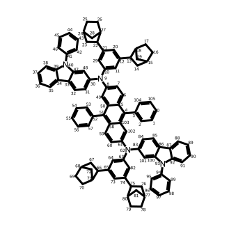 c1ccc(-c2c3ccc(N(c4cc(C5CC6CCC5C6)cc(C5CC6CCC5C6)c4)c4ccc5c6ccccc6n(-c6ccccc6)c5c4)cc3c(-c3ccccc3)c3ccc(N(c4cc(C5CC6CCC5C6)cc(C5CC6CCC5C6)c4)c4ccc5c6ccccc6n(-c6ccccc6)c5c4)cc23)cc1